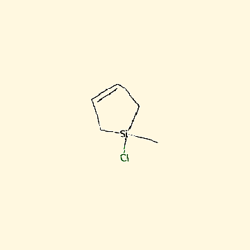 C[Si]1(Cl)CC=CC1